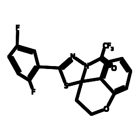 O=C(N1N=C(c2cc(F)ccc2F)SC12CCOc1ccccc12)C(F)(F)F